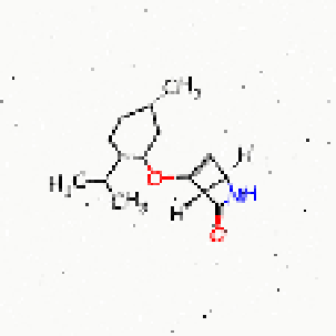 CC(C)C1CC[C@H](C)CC1OC1=C[C@H]2NC(=O)[C@H]12